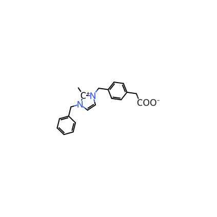 C[c+]1n(Cc2ccccc2)ccn1Cc1ccc(CC(=O)[O-])cc1